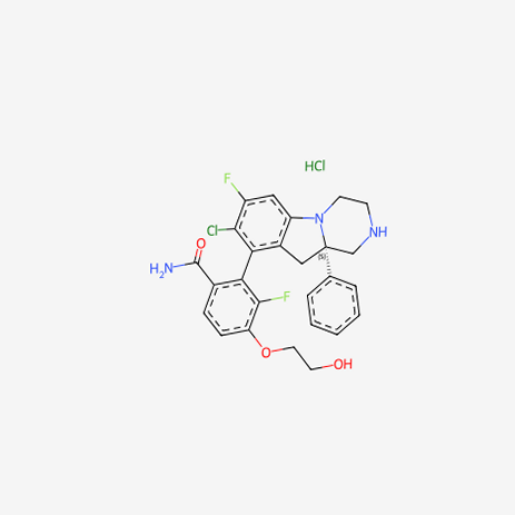 Cl.NC(=O)c1ccc(OCCO)c(F)c1-c1c(Cl)c(F)cc2c1C[C@]1(c3ccccc3)CNCCN21